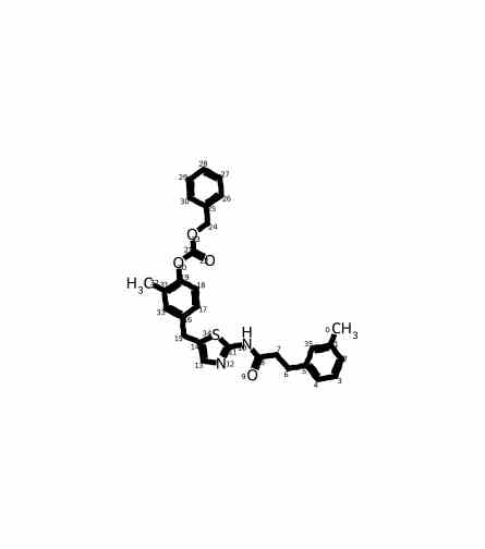 Cc1cccc(CCC(=O)Nc2ncc(Cc3ccc(OC(=O)OCc4ccccc4)c(C)c3)s2)c1